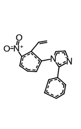 C=Cc1c(-n2ccnc2-c2ccccc2)cccc1[N+](=O)[O-]